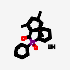 Cc1cc(C)c(C(=O)P(=O)(c2ccccc2)c2ccccc2)c(C)c1.[LiH]